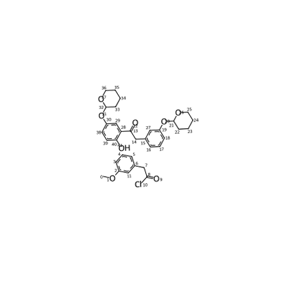 COc1cccc(CC(=O)Cl)c1.O=C(Cc1cccc(OC2CCCCO2)c1)c1cc(OC2CCCCO2)ccc1O